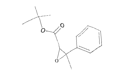 CC(C)(C)OC(=O)C1OC1(C)c1ccccc1